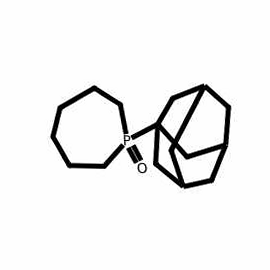 O=P1(C23CC4CC(CC(C4)C2)C3)CCCCCC1